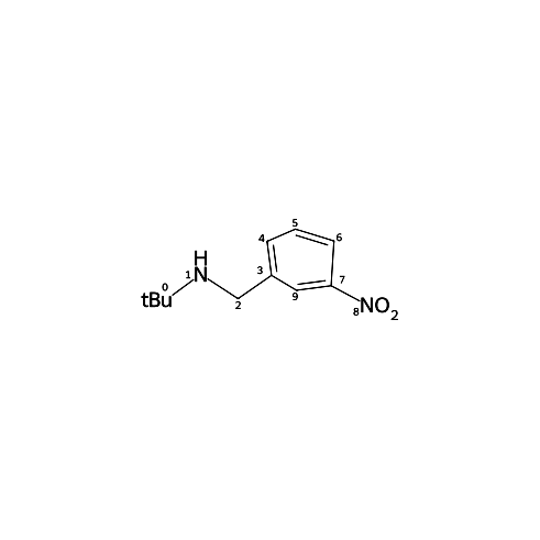 CC(C)(C)NCc1cccc([N+](=O)[O-])c1